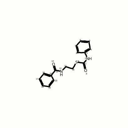 O=C(Nc1ccccc1)SCCNC(=O)c1ccccc1